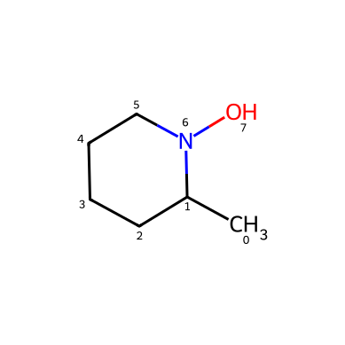 CC1CCCCN1O